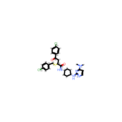 CN(C)c1ccnc(N[C@H]2CC[C@@H](NC(=O)C(CC(=O)c3ccc(Cl)cc3)SCc3ccc(Cl)cc3)CC2)n1